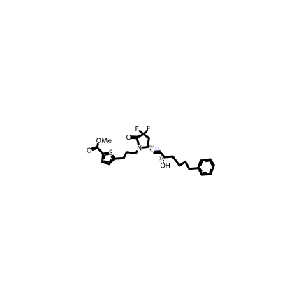 COC(=O)c1ccc(CCCN2C(=O)C(F)(F)C[C@@H]2/C=C/[C@@H](O)CCCCc2ccccc2)s1